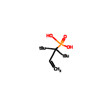 C=CC(C(C)(C)C)(C(C)(C)C)P(=O)(O)O